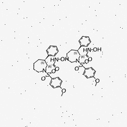 COc1ccc(S(=O)(=O)N2CCCC[C@@H](c3ccccc3)[C@@H]2C(=O)NO)cc1.COc1ccc(S(=O)(=O)N2CCCC[C@@H](c3ccccc3)[C@@H]2C(=O)NO)cc1